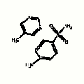 Cc1cncnc1.Nc1ccc(S(N)(=O)=O)cc1